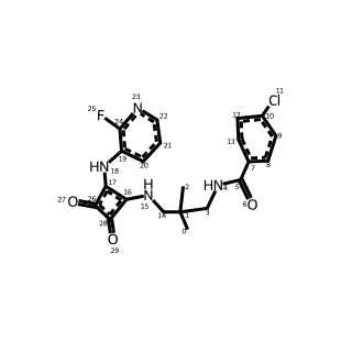 CC(C)(CNC(=O)c1ccc(Cl)cc1)CNc1c(Nc2cccnc2F)c(=O)c1=O